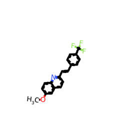 COc1ccc2nc(/C=C/c3ccc(C(F)(F)F)cc3)ccc2c1